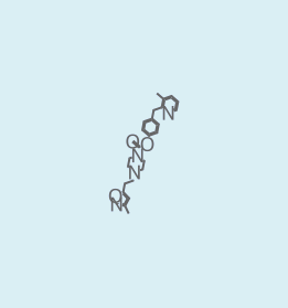 Cc1cc(CCN2CCN(C(=O)Oc3ccc(Cc4ncccc4C)cc3)CC2)on1